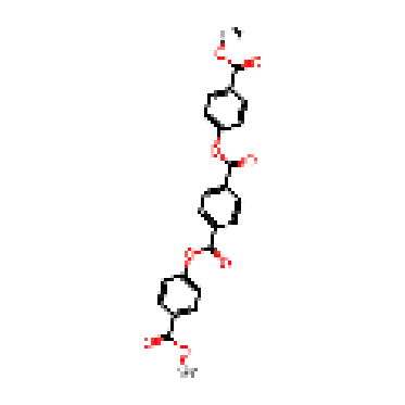 CCCOC(=O)c1ccc(OC(=O)c2ccc(C(=O)Oc3ccc(C(=O)OCCC)cc3)cc2)cc1